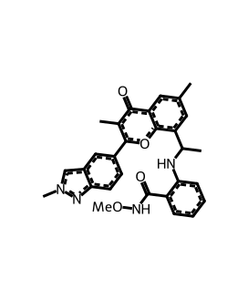 CONC(=O)c1ccccc1NC(C)c1cc(C)cc2c(=O)c(C)c(-c3ccc4nn(C)cc4c3)oc12